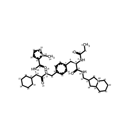 CCC(=O)N[C@H](Cc1ccc(CNC(=O)[C@@H](NC(=O)c2ccnn2C)C2CCCCC2)cc1)C(=O)NCC1CC2CCCCN2C1